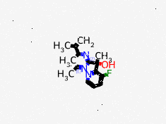 C=C(C)C(C)/N=C(\N=C\C)C(C)(O)c1ncccc1F